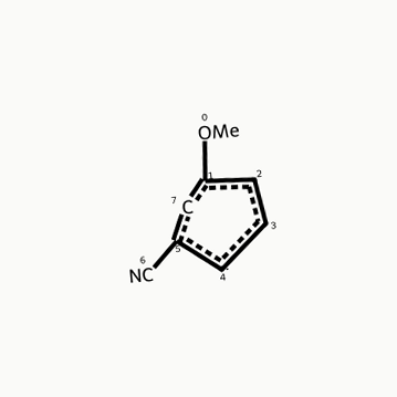 COc1cc[c]c(C#N)c1